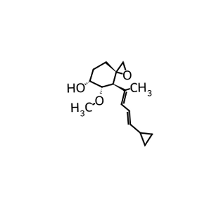 CO[C@@H]1[C@H](O)CC[C@]2(CO2)[C@H]1/C(C)=C/C=C/C1CC1